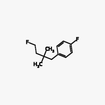 CC(C)(CCF)Cc1ccc(F)cc1